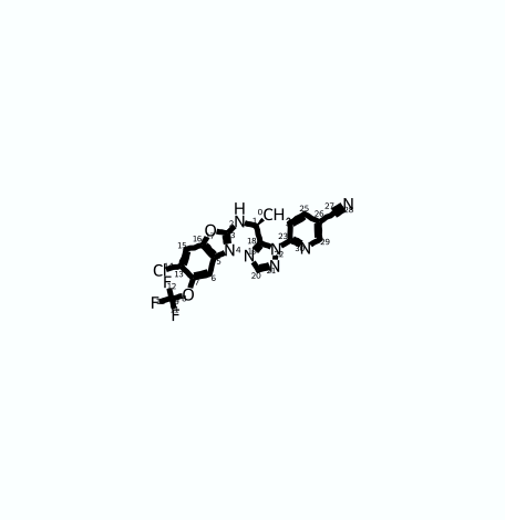 C[C@H](Nc1nc2cc(OC(F)(F)F)c(Cl)cc2o1)c1ncnn1-c1ccc(C#N)cn1